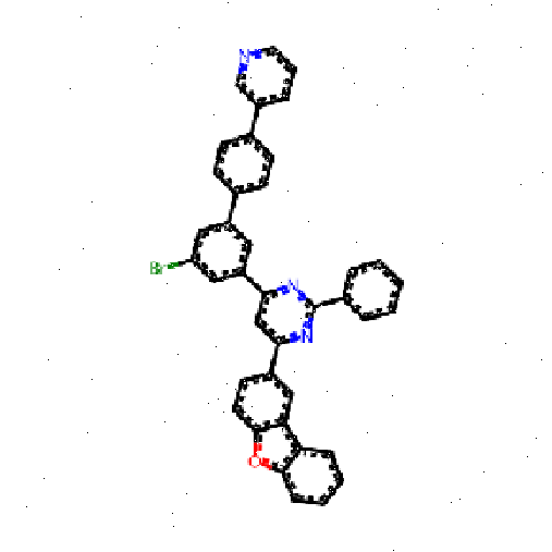 Brc1cc(-c2ccc(-c3cccnc3)cc2)cc(-c2cc(-c3ccc4oc5ccccc5c4c3)nc(-c3ccccc3)n2)c1